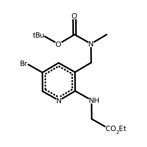 CCOC(=O)CNc1ncc(Br)cc1CN(C)C(=O)OC(C)(C)C